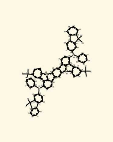 CC(C)(C)c1ccc2c(c1)c1c(N(c3ccccc3)c3ccc4c(c3)C(C)(C)c3ccccc3-4)ccc3c4cc5c(cc4n2c31)c1ccc(N(c2ccccc2)c2ccc3c(c2)C(C)(C)c2ccccc2-3)c2c3cc(C(C)(C)C)ccc3n5c12